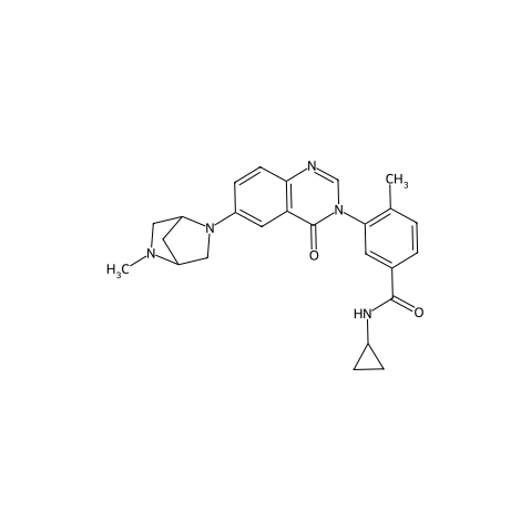 Cc1ccc(C(=O)NC2CC2)cc1-n1cnc2ccc(N3CC4CC3CN4C)cc2c1=O